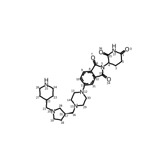 O=C1CCC(N2C(=O)c3ccc(N4CCN(C[C@H]5CCN(CC6CCNCC6)C5)CC4)cc3C2=O)C(=O)N1